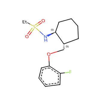 CCS(=O)(=O)N[C@H]1CCCC[C@@H]1COc1ccccc1F